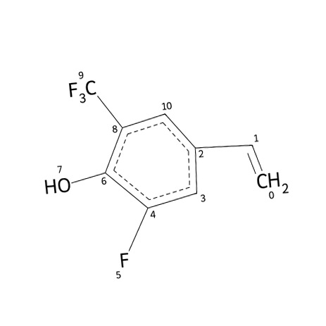 C=Cc1cc(F)c(O)c(C(F)(F)F)c1